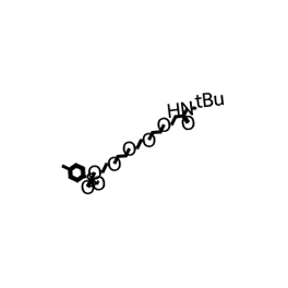 Cc1ccc(S(=O)(=O)OCCOCCOCCOCCOCCC(=O)NCC(C)(C)C)cc1